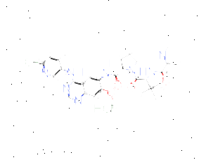 CN[C@@H](C)C(=O)N[C@H](C(=O)N1CCC[C@H]1C(=O)Nc1cc2c(Nc3ccc(Cl)nc3)ncnc2cc1OC)C(C)(C)C.Cl